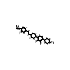 CCC1CCC(c2ccc(C3CCC(CCc4ccc(C5CO5)c(F)c4)CC3)c(F)c2F)CC1